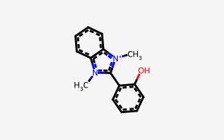 Cn1c(-c2ccccc2O)[n+](C)c2ccccc21